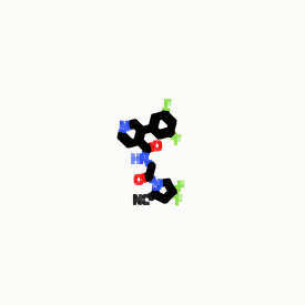 N#CC1CC(F)(F)CN1C(=O)CNC(=O)c1ccncc1-c1cc(F)cc(F)c1